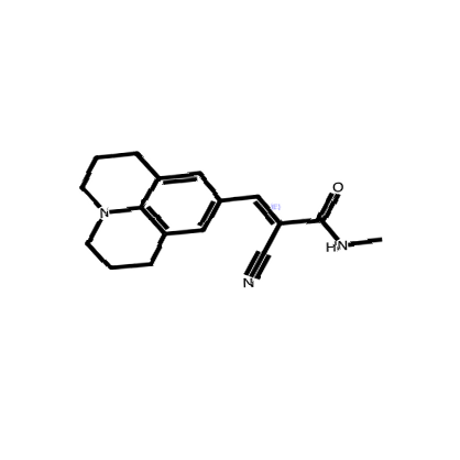 CNC(=O)/C(C#N)=C/c1cc2c3c(c1)CCCN3CCC2